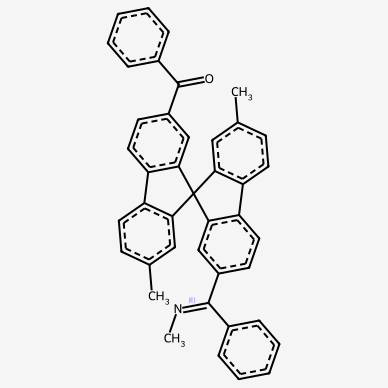 C/N=C(\c1ccccc1)c1ccc2c(c1)C1(c3cc(C)ccc3-c3ccc(C(=O)c4ccccc4)cc31)c1cc(C)ccc1-2